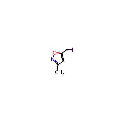 Cc1cc(CI)on1